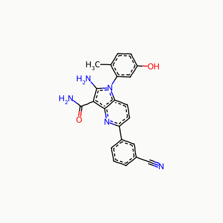 Cc1ccc(O)cc1-n1c(N)c(C(N)=O)c2nc(-c3cccc(C#N)c3)ccc21